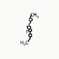 C=CCCc1ccc(-c2ccc3cc(CCC4CCC(CC)CC4)ccc3c2F)cc1